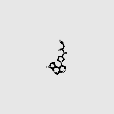 CN(C(=O)CC#N)C1CCN(c2cnnc3cnc4[nH]ccc4c23)C1